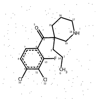 CCCC1(C(=O)c2ccc(Cl)c(Cl)c2F)CCCNC1